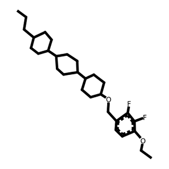 CCCC1CCC(C2CCC(C3CCC(OCc4ccc(OCC)c(F)c4F)CC3)CC2)CC1